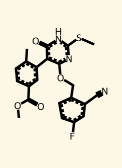 COC(=O)c1ccc(C)c(-c2c(OCc3ccc(F)cc3C#N)nc(SC)[nH]c2=O)c1